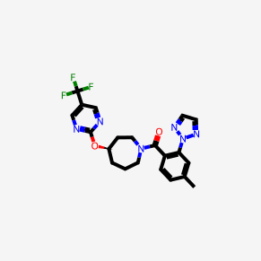 Cc1ccc(C(=O)N2CCC[C@@H](Oc3ncc(C(F)(F)F)cn3)CC2)c(-n2nccn2)c1